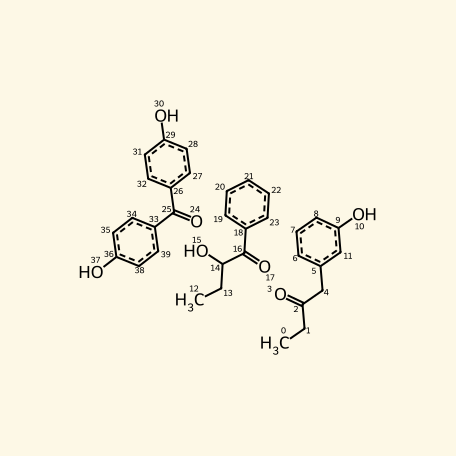 CCC(=O)Cc1cccc(O)c1.CCC(O)C(=O)c1ccccc1.O=C(c1ccc(O)cc1)c1ccc(O)cc1